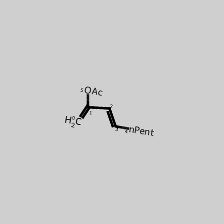 C=C(C=CCCCCC)OC(C)=O